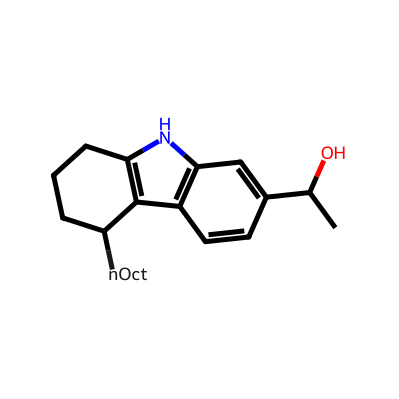 CCCCCCCCC1CCCc2[nH]c3cc(C(C)O)ccc3c21